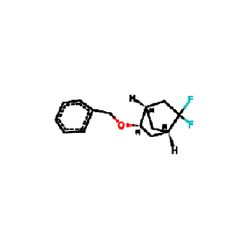 FC1(F)C[C@H]2C[C@@H]1C[C@@H]2OCc1ccccc1